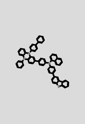 c1ccc(-c2ccc(N3c4ccccc4N(c4ccccc4)c4ccc(-c5ccc(N(c6ccc(-c7ccc8sc9ccccc9c8c7)cc6)c6cccc7ccccc67)cc5)cc43)cc2)cc1